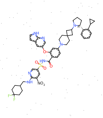 O=C(NS(=O)(=O)c1cnc(NCC2CCC(F)(F)CC2)c([N+](=O)[O-])c1)c1ccc(N2CCC3(CC2)CC(N2CCC[C@@H]2c2ccccc2C2CC2)C3)cc1Oc1cnc2[nH]ccc2c1